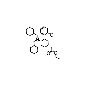 CCOC(=O)C[C@@H]1CC[C@@H](N(CC2CCCCC2)CC2CCCCC2)[C@H](c2ccccc2Cl)C1